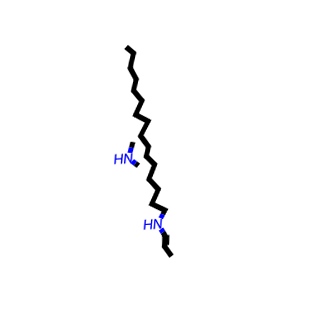 CC=CNCCCCCCCCCCCCCCCC.CNC